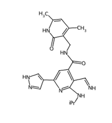 Cc1cc(C)c(CNC(=O)c2cc(-c3cn[nH]c3)nc(NC(C)C)c2C=N)c(=O)[nH]1